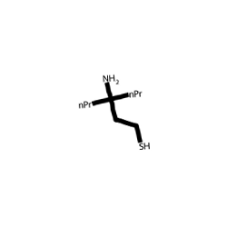 CCCC(N)(CCC)CCS